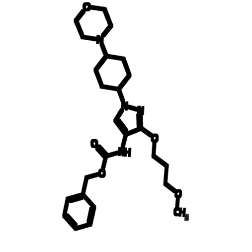 COCCCOc1nn(C2CCC(N3CCOCC3)CC2)cc1NC(=O)OCc1ccccc1